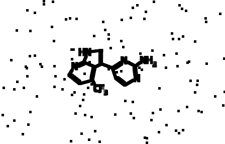 Nc1nccc(-c2c[nH]c3nccc(C(F)(F)F)c23)n1